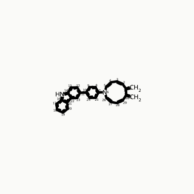 C=C1/C=C\C=C/N(c2ccc(-c3ccc4[nH]c5ccccc5c4c3)cc2)/C=C\C=C/C1=C